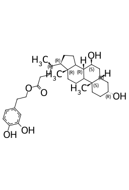 C[C@H](CCC(=O)OCCc1ccc(O)c(O)c1)[C@H]1CCC2[C@H]3C(CC[C@@]21C)[C@@]1(C)CC[C@@H](O)C[C@H]1C[C@@H]3O